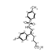 Cc1ccc(S(=O)(=O)NN=C(CCCC(=O)O)c2ccc(F)cc2)cc1